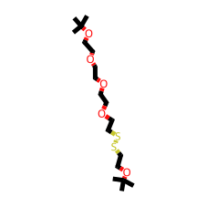 CC(C)(C)OCCOCCOCCOCCSSCCOC(C)(C)C